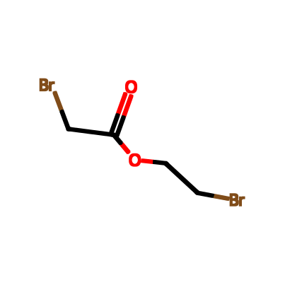 O=C(CBr)OCCBr